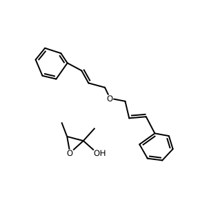 C(=Cc1ccccc1)COCC=Cc1ccccc1.CC1OC1(C)O